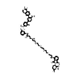 Nc1ncc(-c2ccc(S(=O)(=O)Nc3cccc(NC(=O)CCNCCOCCOCCOCCOCCNc4cccc5c4C(=O)N(C4CCC(=O)NC4=O)C5=O)c3)cc2F)cc1-c1ccc2c(c1)CCNC2=O